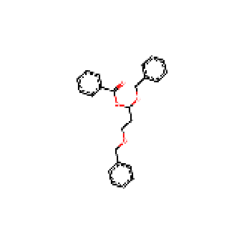 O=C(OC(CCOCc1ccccc1)OCc1ccccc1)c1ccccc1